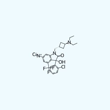 [C-]#[N+]c1cc2c(c(C(F)(F)F)c1)C(O)(c1ccccc1Cl)C(=O)N2C[C@H]1C[C@H](N(CC)CC)C1